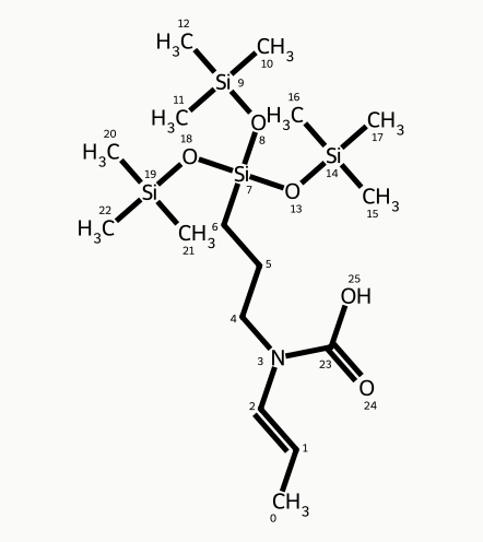 CC=CN(CCC[Si](O[Si](C)(C)C)(O[Si](C)(C)C)O[Si](C)(C)C)C(=O)O